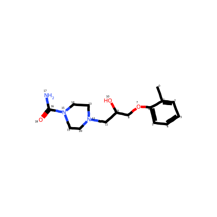 Cc1ccccc1OCC(O)CN1CCN(C(N)=O)CC1